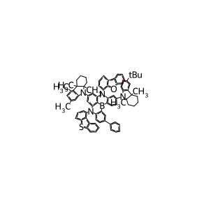 Cc1cc(C)c2c(c1)N(c1cc3c4c(c1)N(c1cccc5sc6ccccc6c15)c1ccc(-c5ccccc5)cc1B4c1ccc(N4c5ccc(C(C)(C)C)cc5C5(C)CCCCC45C)cc1N3c1cccc3c1oc1ccccc13)C1(C)CCCCC21C